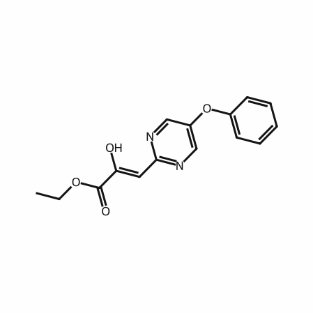 CCOC(=O)C(O)=Cc1ncc(Oc2ccccc2)cn1